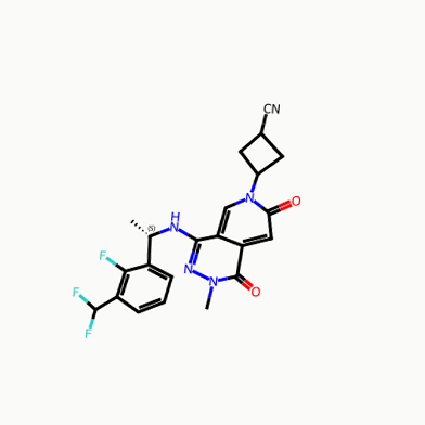 C[C@H](Nc1nn(C)c(=O)c2cc(=O)n(C3CC(C#N)C3)cc12)c1cccc(C(F)F)c1F